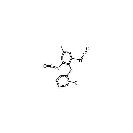 Cc1cc(N=C=O)c(Cc2ccccc2Cl)c(N=C=O)c1